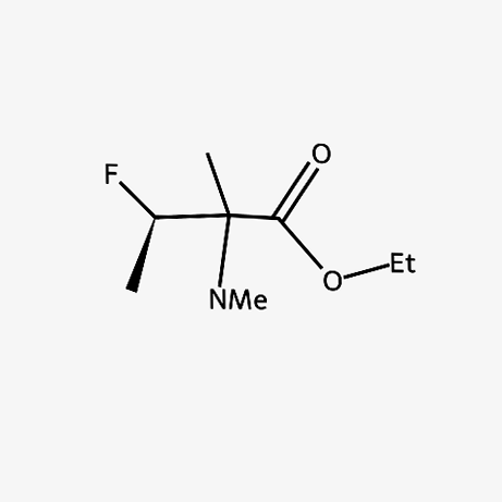 CCOC(=O)C(C)(NC)[C@@H](C)F